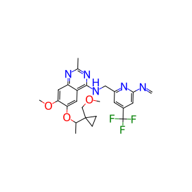 C=Nc1cc(C(F)(F)F)cc(CNc2nc(C)nc3cc(OC)c(OC(C)C4(COC)CC4)cc23)n1